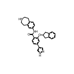 O=C(Nc1ccc2c(c1)CCNCC2)c1ccc(-c2cn[nH]c2)cc1OC1Cc2ccccc2C1